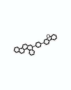 c1ccc2c(c1)ccc1c2ccc2cc(-c3ccc(-c4ccc5c(c4)oc4ccccc45)cc3)c3ccccc3c21